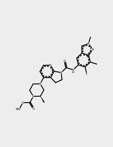 Cc1c(F)c(NC(=O)N2CCc3c(N4CCN(C(=O)OC(C)(C)C)[C@H](C)C4)ccnc32)cc2cn(C)nc12